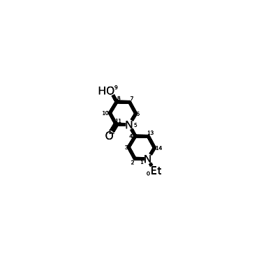 CCN1CCC(N2CCC(O)CC2=O)CC1